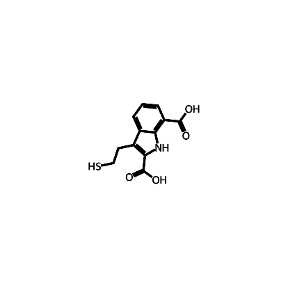 O=C(O)c1[nH]c2c(C(=O)O)cccc2c1CCS